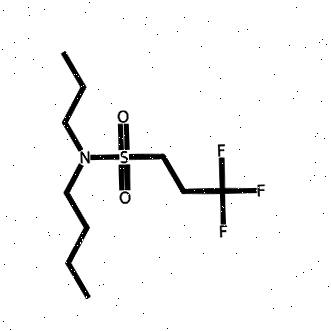 CCCCN(CCC)S(=O)(=O)CCC(F)(F)F